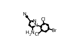 N#Cc1cc(N)n(-c2c(Cl)cc(Br)cc2Cl)n1